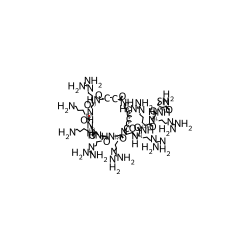 NCCCC[C@@H]1NC(=O)[C@H](CCCN=C(N)N)NC(=O)CCCC(=O)NCCCCCCN(CC(=O)N[C@@H](CCCN=C(N)N)C(=O)N[C@@H](CCCN=C(N)N)C(=O)N[C@@H](CCCN=C(N)N)C(=O)N[C@@H](CS)C(N)=O)C(=O)[C@H](CCCN=C(N)N)NC(=O)[C@H](CCCN=C(N)N)NC(=O)[C@H](CCCCN)NC1=O